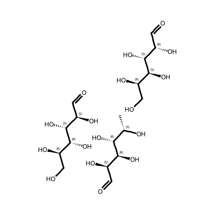 C[C@H](O)[C@@H](O)[C@@H](O)[C@H](O)C=O.O=C[C@@H](O)[C@@H](O)[C@H](O)[C@H](O)CO.O=C[C@H](O)[C@@H](O)[C@@H](O)[C@H](O)CO